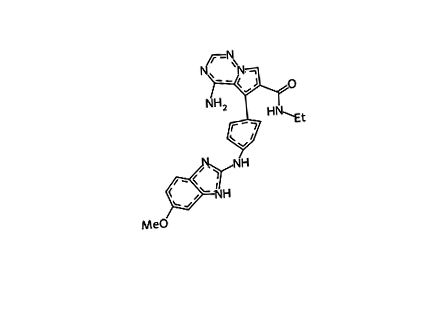 CCNC(=O)c1cn2ncnc(N)c2c1-c1ccc(Nc2nc3ccc(OC)cc3[nH]2)cc1